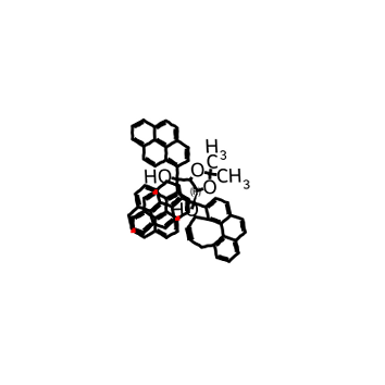 CC1(C)OC(C(O)(c2ccc3ccc4cccc5ccc2c3c45)c2ccc3ccc4cccc5ccc2c3c45)[C@H](C(O)(C2=c3ccc4cccc5ccc(c3c54)CC2)c2ccc3ccc4cccc5c4c3c2CC#CC5)O1